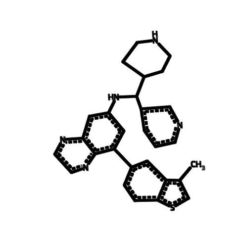 Cc1csc2ccc(-c3cc(NC(c4cccnc4)C4CCNCC4)cc4nccnc34)cc12